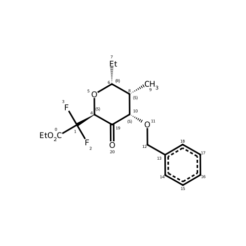 CCOC(=O)C(F)(F)[C@H]1O[C@H](CC)[C@H](C)[C@H](OCc2ccccc2)C1=O